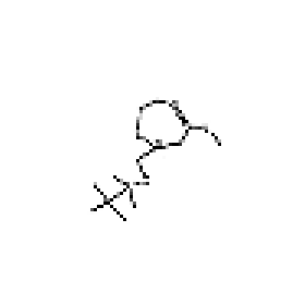 CSC1=NCCS[C@](C)(CO[Si](C)(C)C(C)(C)C)C1